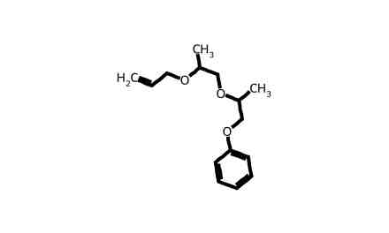 C=CCOC(C)COC(C)COc1ccccc1